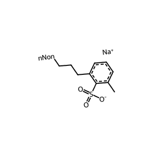 CCCCCCCCCCCCc1cccc(C)c1S(=O)(=O)[O-].[Na+]